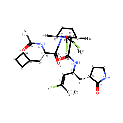 CCOC(=O)/C(F)=C\[C@H](C[C@@H]1CCNC1=O)NC(=O)[C@@H]1[C@H]2CC[C@H](CC2(F)F)N1C(=O)[C@H](CC1CCC1)NC(=O)C(F)(F)F